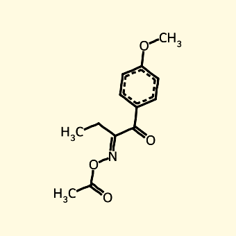 CC/C(=N\OC(C)=O)C(=O)c1ccc(OC)cc1